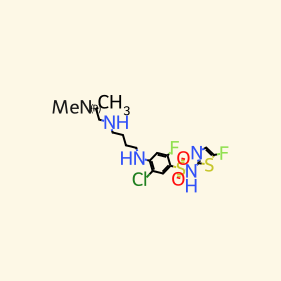 CN[C@H](C)CNCCCCNc1cc(F)c(S(=O)(=O)Nc2ncc(F)s2)cc1Cl